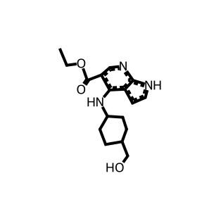 CCOC(=O)c1cnc2[nH]ccc2c1NC1CCC(CO)CC1